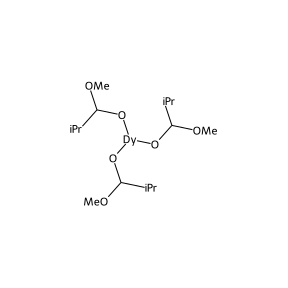 COC([O][Dy]([O]C(OC)C(C)C)[O]C(OC)C(C)C)C(C)C